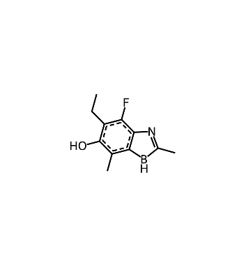 CCc1c(O)c(C)c2c(c1F)N=C(C)B2